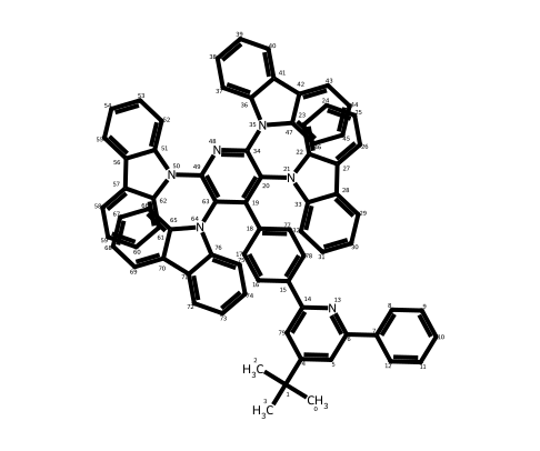 CC(C)(C)c1cc(-c2ccccc2)nc(-c2ccc(-c3c(-n4c5ccccc5c5ccccc54)c(-n4c5ccccc5c5ccccc54)nc(-n4c5ccccc5c5ccccc54)c3-n3c4ccccc4c4ccccc43)cc2)c1